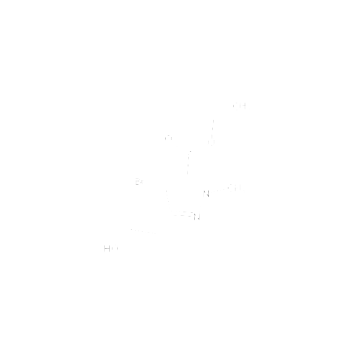 CCOC(=O)c1c(Br)c(CCO)nn1C